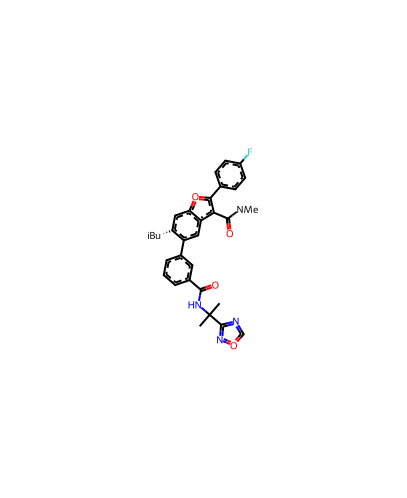 CC[C@@H](C)c1cc2oc(-c3ccc(F)cc3)c(C(=O)NC)c2cc1-c1cccc(C(=O)NC(C)(C)c2ncon2)c1